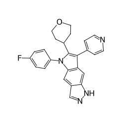 Fc1ccc(-n2c(C3CCOCC3)c(-c3ccncc3)c3cc4[nH]ncc4cc32)cc1